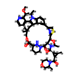 CCO[C@@H]1c2nc(cs2)-c2ccc3c(c2)c(c(-c2cccnc2[C@H](C)OC)n3CC)CC(C)(C)COC(=O)[C@@H]2CCCN(N2)C(=O)[C@H]1NC(=O)[C@@H]1[C@@H](C)[C@H]1C(=O)N1CCOC[C@@H]1C